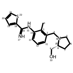 Cc1c(CN2CCC[C@@H]2CO)cccc1NC(=N)c1cccs1